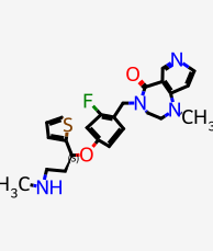 CNCC[C@H](Oc1ccc(CN2CCN(C)c3ccncc3C2=O)c(F)c1)c1cccs1